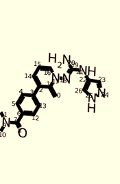 C=C1C(c2ccc(C(=O)N(C)C)cc2)=CC=CN1/N=C(\N)Nc1cn[nH]c1